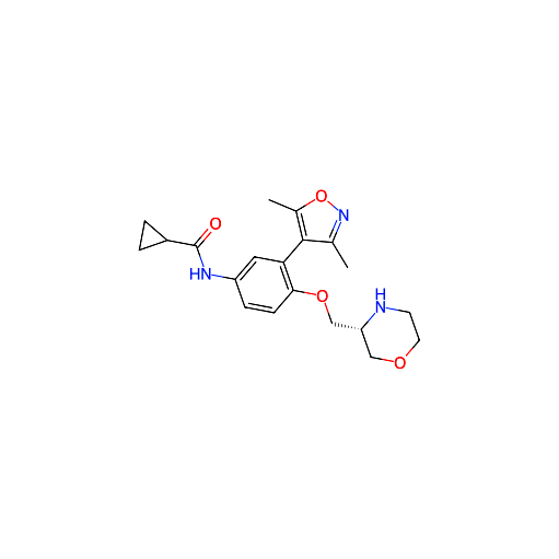 Cc1noc(C)c1-c1cc(NC(=O)C2CC2)ccc1OC[C@H]1COCCN1